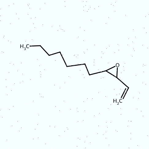 C=CC1OC1CCCCCCC